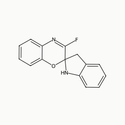 FC1=Nc2ccccc2OC12Cc1ccccc1N2